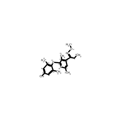 CCC(=NOC)c1cc(C)nc(Oc2c(C)cc(Cl)cc2C)c1C